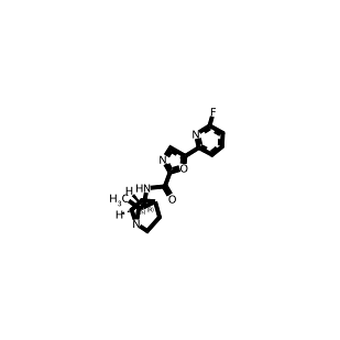 C[C@H]1[C@H](NC(=O)c2ncc(-c3cccc(F)n3)o2)C2CCN1CC2